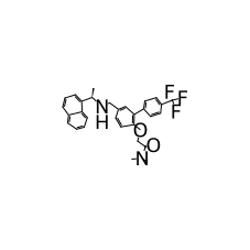 C[C@@H](NCc1ccc(OCC(=O)N(C)C)c(-c2ccc(C(F)(F)F)cc2)c1)c1cccc2ccccc12